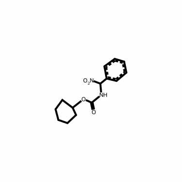 O=C(NC(c1ccccc1)[N+](=O)[O-])OC1CCCCC1